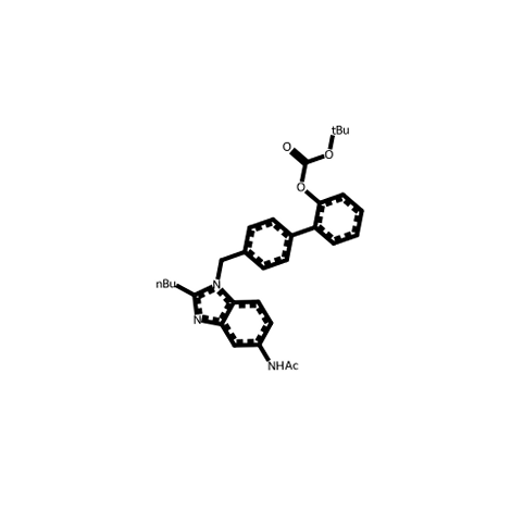 CCCCc1nc2cc(NC(C)=O)ccc2n1Cc1ccc(-c2ccccc2OC(=O)OC(C)(C)C)cc1